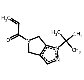 C=CC(=O)N1Cc2cnn(C(C)(C)C)c2C1